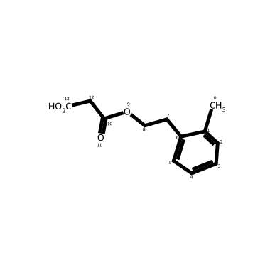 Cc1ccccc1CCOC(=O)CC(=O)O